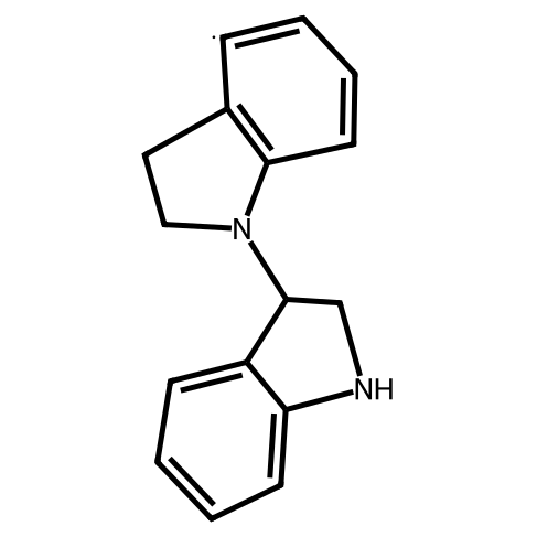 [c]1cccc2c1CCN2C1CNc2ccccc21